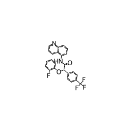 O=C(Nc1cccc2ncccc12)C(Oc1ccccc1F)c1ccc(C(F)(F)F)cc1